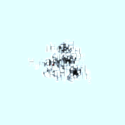 COc1ccc(C(OCC(OC(=O)CCC(C)=O)C(=O)N(CCCNC(=O)CCCCCCO[C@@H]2OC(COC(C)=O)[C@H](OC(C)=O)[C@H](C)C2NC(C)=O)CCCN(CCCNC(=O)CCCCCCO[C@@H]2OC(COC(C)=O)[C@H](OC(C)=O)[C@H](C)C2NC(C)=O)C(=O)CCCCCCO[C@@H]2OC(COC(C)=O)[C@H](OC(C)=O)[C@H](C)C2NC(C)=O)(c2ccccc2)c2ccc(OC)cc2)cc1